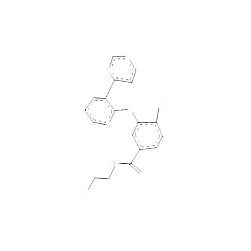 Cc1ccc(C(=O)NCCC(C)(C)C)cc1Nc1ncccc1-c1ccncn1